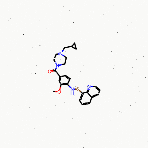 COc1cc(C(=O)N2CCN(CC3CC3)CC2)ccc1NSc1cccc2cccnc12